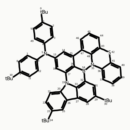 CC(C)(C)c1ccc(N(c2ccc(C(C)(C)C)cc2)c2cc3c4c(c2)-n2c5ccc(C(C)(C)C)cc5c5cc(C(C)(C)C)cc(c52)B4N2c4ccccc4Sc4cccc-3c42)cc1